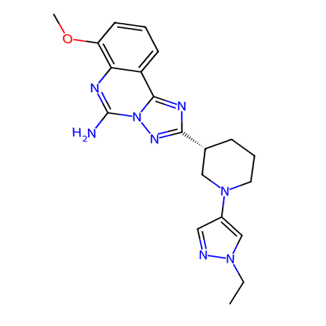 CCn1cc(N2CCC[C@@H](c3nc4c5cccc(OC)c5nc(N)n4n3)C2)cn1